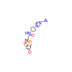 COc1cc(C)c(S(=O)(=O)N(C)CCC(=O)N[C@H]2CC[C@@H](N3CCN(CCN(C)C)C[C@H]3C)CC2)c(C)c1